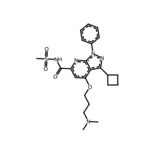 CN(C)CCCOc1cc(C(=O)NS(C)(=O)=O)nc2c1c(C1CCC1)nn2-c1ccccc1